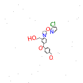 COCc1ccc(C(=O)c2ccc(N3CCC(Oc4ncccc4Cl)C3)c(CCO)c2)cc1